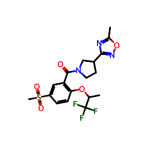 Cc1nc(C2CCN(C(=O)c3cc(S(C)(=O)=O)ccc3OC(C)C(F)(F)F)C2)no1